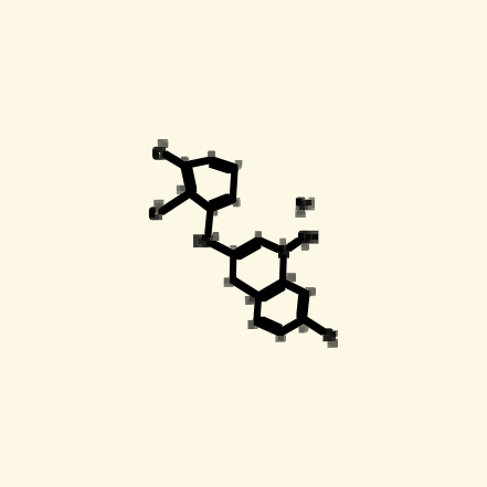 ON1C=C(Nc2cccc(Cl)c2Cl)Cc2ccc(Br)cc21.[Sn]